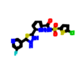 O=C(NS(=O)(=O)c1ccc(Cl)s1)C1=CC=CC(C2NNC(c3cncc(F)c3)S2)N1